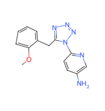 COc1ccccc1Cc1nnnn1-c1ccc(N)cn1